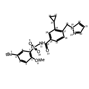 COc1ccc(C(C)(C)C)cc1S(=O)(=O)NC(=O)c1ccc(Cn2cccn2)c(C2CC2)c1